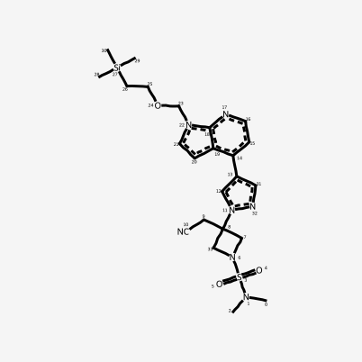 CN(C)S(=O)(=O)N1CC(CC#N)(n2cc(-c3ccnc4c3ccn4COCC[Si](C)(C)C)cn2)C1